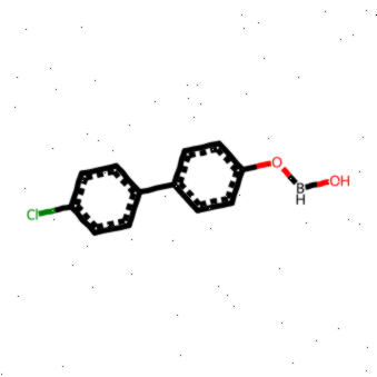 OBOc1ccc(-c2ccc(Cl)cc2)cc1